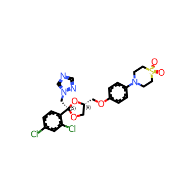 O=S1(=O)CCN(c2ccc(OC[C@@H]3CO[C@@](Cn4cncn4)(c4ccc(Cl)cc4Cl)O3)cc2)CC1